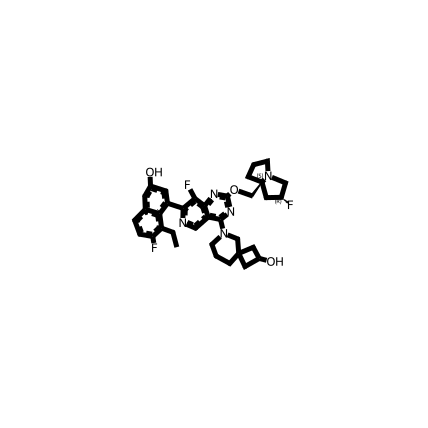 CCc1c(F)ccc2cc(O)cc(-c3ncc4c(N5CCCC6(CC(O)C6)C5)nc(OC[C@@]56CCCN5C[C@H](F)C6)nc4c3F)c12